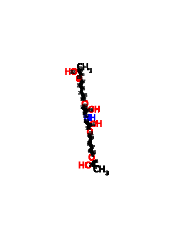 CC(O)COCCCCCCOCC(O)CNCC(O)COCCCCCCOCC(C)O